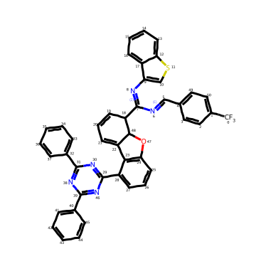 FC(F)(F)c1ccc(/C=N/C(=N\c2csc3ccccc23)C2C=CC=C3c4c(cccc4-c4nc(-c5ccccc5)nc(-c5ccccc5)n4)OC32)cc1